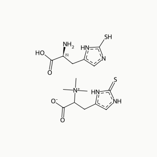 C[N+](C)(C)C(Cc1c[nH]c(=S)[nH]1)C(=O)[O-].N[C@@H](Cc1cnc(S)[nH]1)C(=O)O